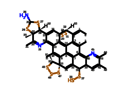 C/C=C1\c2c(C)c3c4c5c(c(C)c6c(c25)[C@]2(C=C5C=6N=C(C)[C@@]6(C)S[C@@H](N)S[C@@H]56)SCS[C@H]12)[C@]1(C=C4[C@H](SS)C2C=C(C)C(C)=NC=32)SSS[C@@H]1C